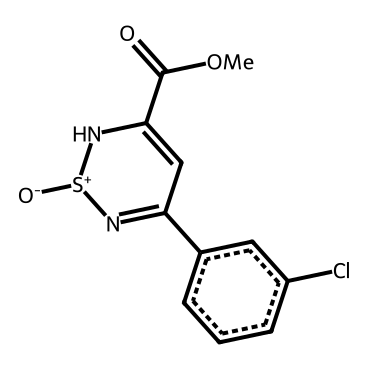 COC(=O)C1=CC(c2cccc(Cl)c2)=N[S+]([O-])N1